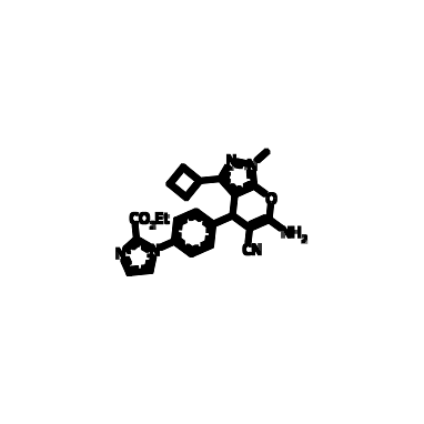 CCOC(=O)c1nccn1-c1ccc(C2C(C#N)=C(N)Oc3c2c(C2CCC2)nn3C)cc1